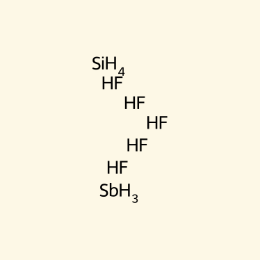 F.F.F.F.F.[SbH3].[SiH4]